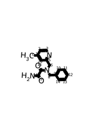 Cc1ccnc(CN(Cc2ccccc2)C(=O)C(N)=O)c1